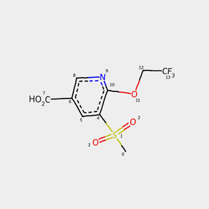 CS(=O)(=O)c1cc(C(=O)O)cnc1OCC(F)(F)F